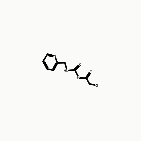 O=C(CCl)NC(=O)NCc1ccccn1